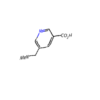 CNCc1cncc(C(=O)O)c1